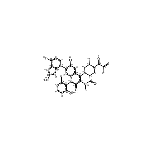 C=C(F)C(=O)N1CC2C(=O)N(C)c3c(c4cc(Cl)c(-c5ccc(F)c6nc(N)sc56)cc4n(-c4c(C)ccnc4C(C)C)c3=O)N2CC1C